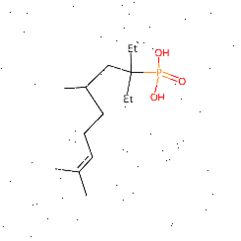 CCC(CC)(CC(C)CCC=C(C)C)P(=O)(O)O